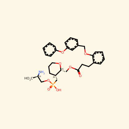 N[C@@H](COP(=O)(O)C[C@@H]1CCCO[C@@H]1COC(=O)CCc1ccccc1OCc1cccc(Oc2ccccc2)c1)C(=O)O